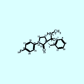 CNC(=O)[C@]1(Cc2ccccc2)CCN(c2ccc(F)cc2)C1=O